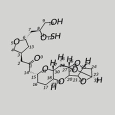 O=C(C[C@H]1CO[C@H](C[C@@H](CO)OS)C1)C[C@H]1CC[C@@H]2OC3C4O[C@@H]5C[C@H]4O[C@H]3[C@@H](O5)[C@H]2O1